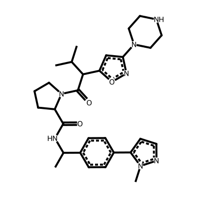 CC(NC(=O)C1CCCN1C(=O)C(c1cc(N2CCNCC2)no1)C(C)C)c1ccc(-c2ccnn2C)cc1